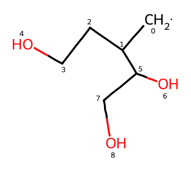 [CH2]C(CCO)C(O)CO